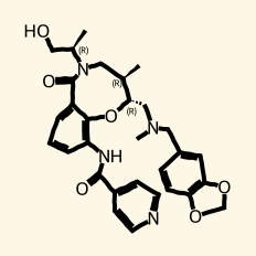 C[C@@H]1CN([C@H](C)CO)C(=O)c2cccc(NC(=O)c3ccncc3)c2O[C@H]1CN(C)Cc1ccc2c(c1)OCO2